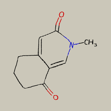 Cn1cc2c(cc1=O)CCCC2=O